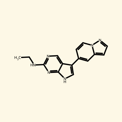 CCNc1ncc2c(-c3ccn4nccc4c3)c[nH]c2n1